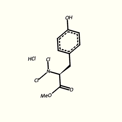 COC(=O)[C@H](Cc1ccc(O)cc1)N(Cl)Cl.Cl